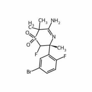 CC1(C)C(N)=N[C@](C)(c2cc(Br)ccc2F)C(F)S1(=O)=O